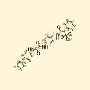 O=C(Nc1ccc(CNC(=O)C(c2ccccc2)S(=O)(=O)O)cc1)C(=O)Nc1ccc(-c2cccs2)cc1